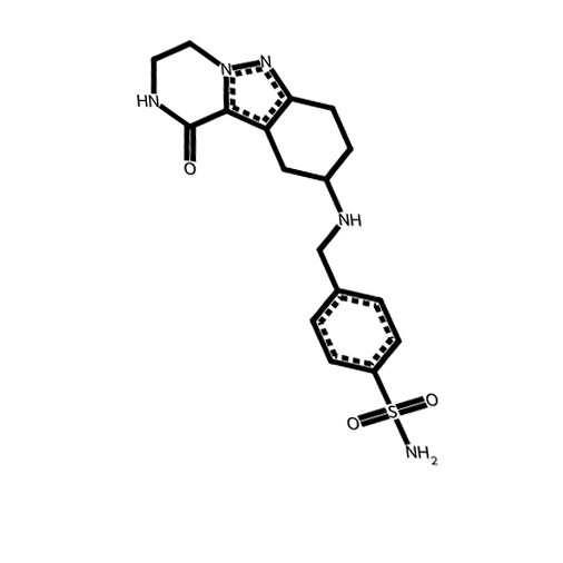 NS(=O)(=O)c1ccc(CNC2CCc3nn4c(c3C2)C(=O)NCC4)cc1